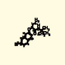 CCC(Oc1cnc2ccc(Br)cc2c1)C(=O)NC(C)(C)C